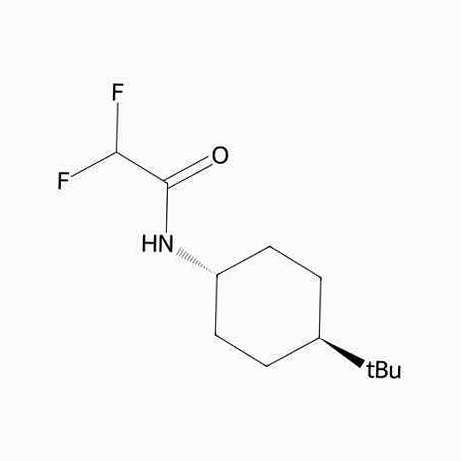 CC(C)(C)[C@H]1CC[C@H](NC(=O)C(F)F)CC1